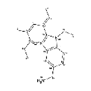 C/C=C(\C=C(\C)C(=O)CC)c1nc2cc(CN)ccc2n1CC